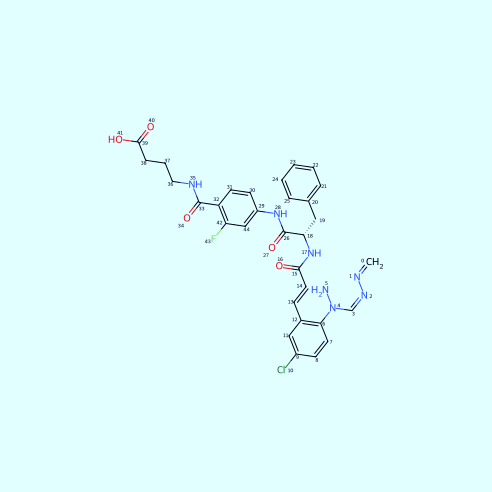 C=N/N=C\N(N)c1ccc(Cl)cc1/C=C/C(=O)N[C@@H](Cc1ccccc1)C(=O)Nc1ccc(C(=O)NCCCC(=O)O)c(F)c1